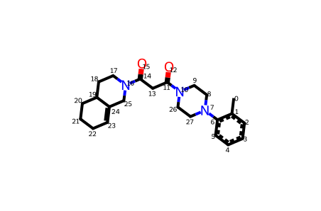 Cc1ccccc1N1CCN(C(=O)CC(=O)N2CCC3CCCC=C3C2)CC1